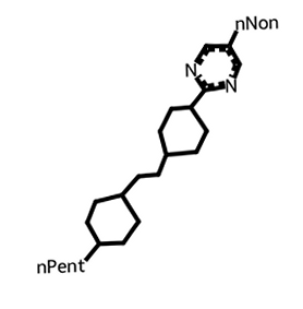 CCCCCCCCCc1cnc(C2CCC(CCC3CCC(CCCCC)CC3)CC2)nc1